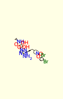 Nc1nc(C#CCC2CCN(C(=O)Oc3ccc(Br)cc3Br)CC2)nc2c1ncn2[C@@H]1O[C@H](C(=O)NC2CC2)[C@H](O)C1O